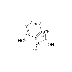 CCOC(C)O.Oc1ccccc1